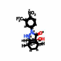 O=C1N(c2ccc([N+](=O)[O-])c(C(F)(F)F)c2)N[C@@H]2[C@H]3CC[C@H](CC3)[C@]12O